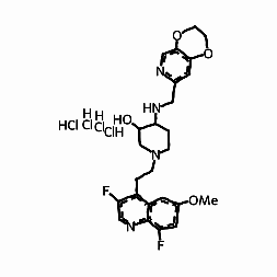 COc1cc(F)c2ncc(F)c(CCN3CCC(NCc4cc5c(cn4)OCCO5)C(O)C3)c2c1.Cl.Cl.Cl.Cl